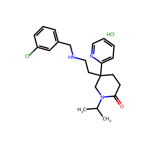 CC(C)N1CC(CCNCc2cccc(Cl)c2)(c2ccccn2)CCC1=O.Cl